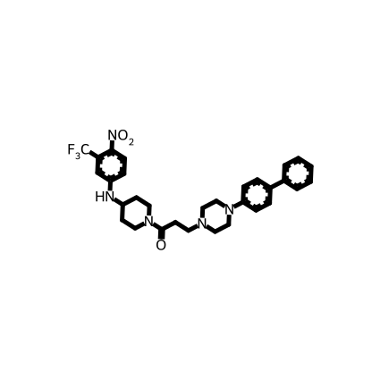 O=C(CCN1CCN(c2ccc(-c3ccccc3)cc2)CC1)N1CCC(Nc2ccc([N+](=O)[O-])c(C(F)(F)F)c2)CC1